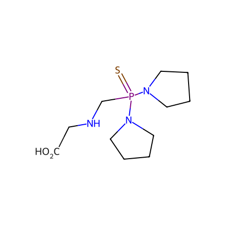 O=C(O)CNCP(=S)(N1CCCC1)N1CCCC1